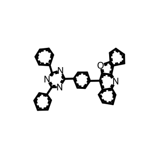 c1ccc(-c2nc(-c3ccccc3)nc(-c3ccc(-c4c5ccccc5nc5c4oc4ccccc45)cc3)n2)cc1